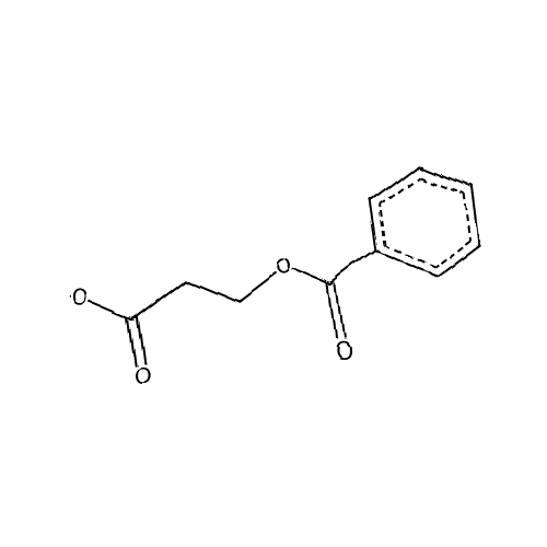 [O]C(=O)CCOC(=O)c1ccccc1